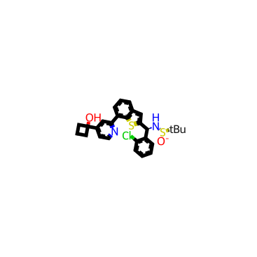 CC(C)(C)[S+]([O-])N[C@@H](c1cc2cccc(-c3cc(C4(O)CCC4)ccn3)c2s1)c1ccccc1Cl